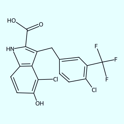 O=C(O)c1[nH]c2ccc(O)c(Cl)c2c1Cc1ccc(Cl)c(C(F)(F)F)c1